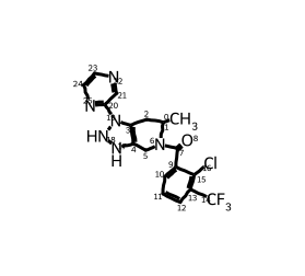 CC1CC2=C(CN1C(=O)c1cccc(C(F)(F)F)c1Cl)NNN2c1cnccn1